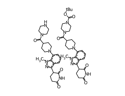 Cn1nc(C2CCC(=O)NC2=O)c2cccc(N3CCC(C(=O)N4CCN(C(=O)OC(C)(C)C)CC4)CC3)c21.Cn1nc(C2CCC(=O)NC2=O)c2cccc(N3CCC(C(=O)N4CCNCC4)CC3)c21